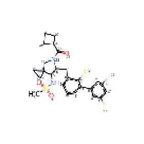 CS(=O)(=O)NC1C(Cc2cccc(-c3cc(F)cc(F)c3)c2F)N(C(=O)C2CCC2)CC12CC2